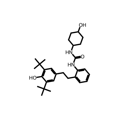 CC(C)(C)c1cc(CCc2ccccc2NC(=O)NC2CCC(O)CC2)cc(C(C)(C)C)c1O